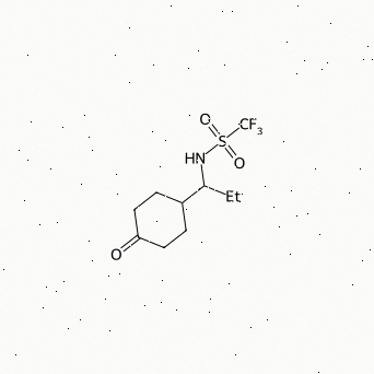 CCC(NS(=O)(=O)C(F)(F)F)C1CCC(=O)CC1